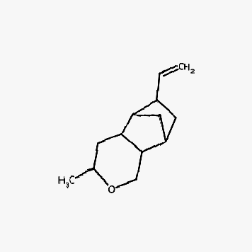 C=CC1CC2CC1C1CC(C)OCC21